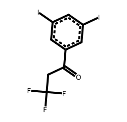 O=C(CC(F)(F)F)c1cc(I)cc(I)c1